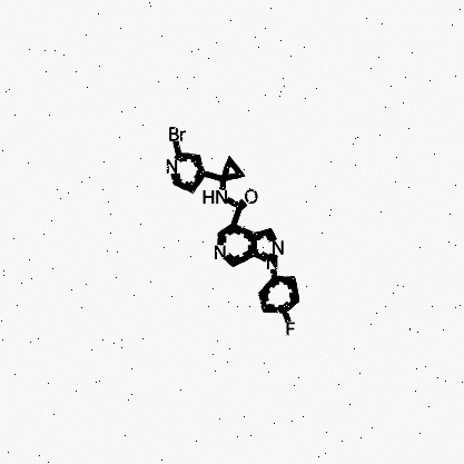 O=C(NC1(c2ccnc(Br)c2)CC1)c1cncc2c1cnn2-c1ccc(F)cc1